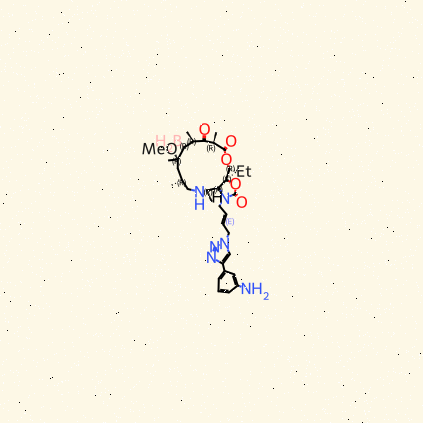 B[C@@H]1[C@@H](C)C(=O)[C@@H](C)C(=O)O[C@H](CC)[C@@]2(C)OC(=O)N(C/C=C/Cn3cc(-c4cccc(N)c4)nn3)[C@@H]2[C@@H](C)NC[C@H](C)C[C@@]1(C)OC